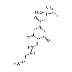 C=CCNNC=C1C(=O)CN(C(=O)OC(C)(C)C)CC1=O